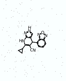 N#CC1=C(C2CC2)Nc2n[nH]cc2C1c1cccc2nonc12